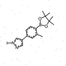 Cc1cc(-c2cnn(I)c2)ccc1B1OC(C)(C)C(C)(C)O1